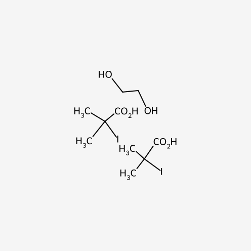 CC(C)(I)C(=O)O.CC(C)(I)C(=O)O.OCCO